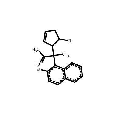 C=C(C)C(C)(c1c(CC)ccc2ccccc12)C1C=CCC1Cl